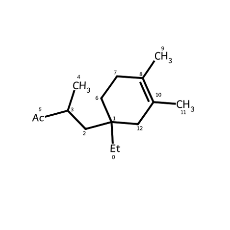 CCC1(CC(C)C(C)=O)CCC(C)=C(C)C1